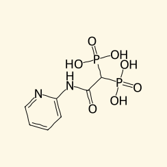 O=C(Nc1ccccn1)C(P(=O)(O)O)P(=O)(O)O